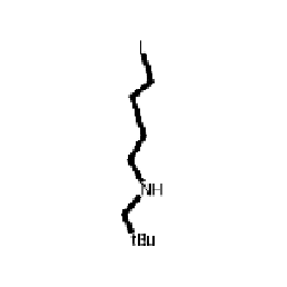 CC(C)(C)CNCCCCI